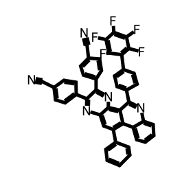 N#Cc1ccc(-c2nc3cc(-c4ccccc4)c4c5ccccc5nc(-c5ccc(-c6c(F)c(F)c(F)c(F)c6F)cc5)c4c3nc2-c2ccc(C#N)cc2)cc1